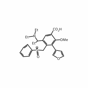 CCC(c1cc(C(=O)O)c(OC)c(-c2ccoc2)c1CS(=O)(=O)c1ccccc1)N(CC)CC